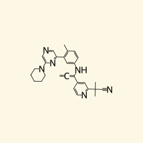 C=C=C(Nc1ccc(C)c(-c2cncc(N3CCCCC3)n2)c1)c1ccnc(C(C)(C)C#N)c1